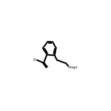 C=C(CC)c1ccccc1CCCCCCCCC